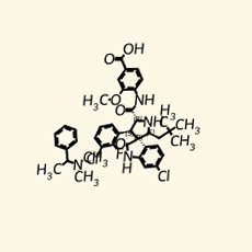 CC(c1ccccc1)N(C)C.COc1cc(C(=O)O)ccc1NC(=O)[C@@H]1N[C@@H](CC(C)(C)C)[C@@]2(C(=O)Nc3cc(Cl)ccc32)[C@H]1c1cccc(Cl)c1F